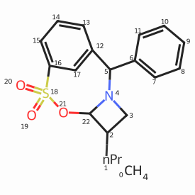 C.CCCC1CN2C(c3ccccc3)c3cccc(c3)S(=O)(=O)OC12